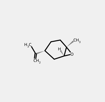 C=C(C)[C@@H]1CC[C@@]2(C)O[C@H]2C1